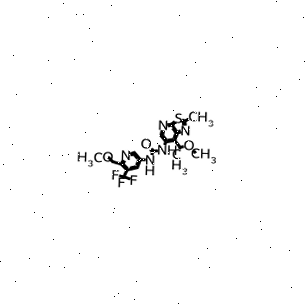 COCc1ncc(NC(=O)Nc2cnc3sc(C)nc3c2C(C)OC)cc1C(F)(F)F